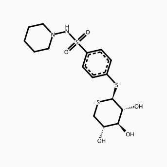 O=S(=O)(NN1CCCCC1)c1ccc(S[C@@H]2SC[C@@H](O)[C@H](O)[C@H]2O)cc1